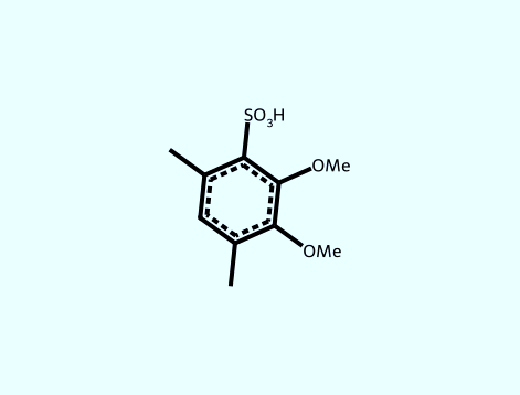 COc1c(C)cc(C)c(S(=O)(=O)O)c1OC